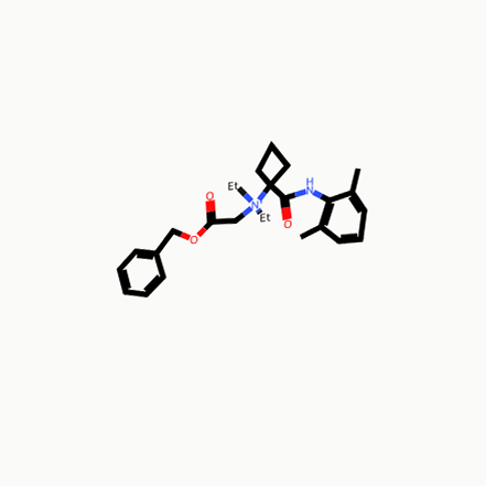 CC[N+](CC)(CC(=O)OCc1ccccc1)C1(C(=O)Nc2c(C)cccc2C)CCC1